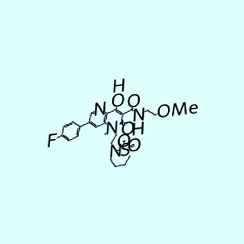 COCCNC(=O)C1=C(O)c2ncc(-c3ccc(F)cc3)cc2[N+](C)(CCN2CCCCS2(=O)=O)C1=O